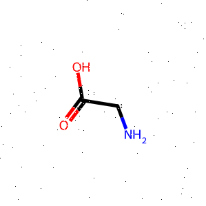 N[C]C(=O)O